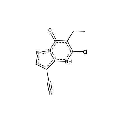 CCc1c(Cl)[nH]c2c(C#N)cnn2c1=O